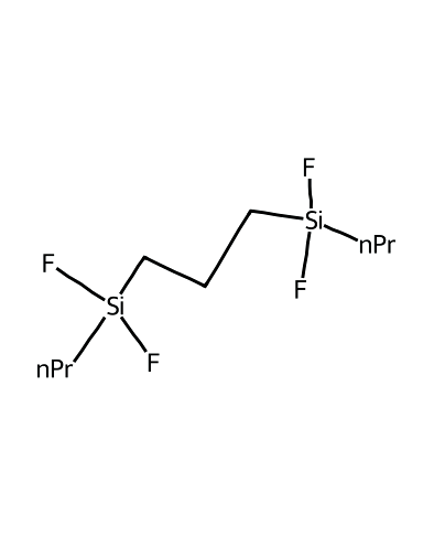 CCC[Si](F)(F)CCC[Si](F)(F)CCC